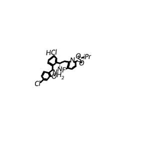 CC(C)S(=O)(=O)c1ccc(F)c(C[C@H](N)c2ccccc2-c2noc3cc(Cl)ccc23)n1.Cl